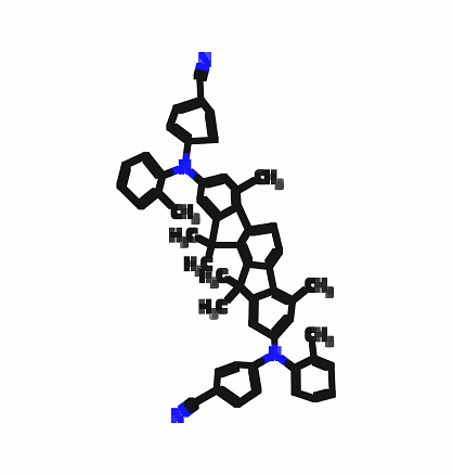 Cc1ccccc1N(c1ccc(C#N)cc1)c1cc(C)c2c(c1)C(C)(C)c1c-2ccc2c1C(C)(C)c1cc(N(c3ccc(C#N)cc3)c3ccccc3C)cc(C)c1-2